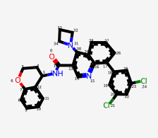 O=C(NC1CCOc2ccccc21)c1cnc2c(-c3cc(Cl)cc(Cl)c3)cccc2c1N1CCC1